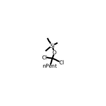 CCCCCC(Cl)(Cl)O[Si](C)(C)C